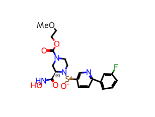 COCCOC(=O)N1CCN([S+]([O-])c2ccc(-c3cccc(F)c3)nc2)[C@@H](C(=O)NO)C1